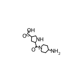 NC1CCN(C(=O)C2CC(S(=O)O)CN2)CC1